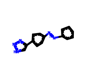 c1ccc(/N=N/c2ccc(-c3c[nH]nn3)cc2)cc1